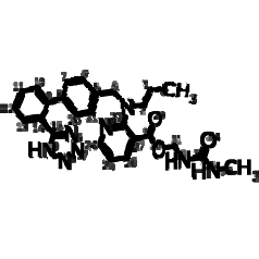 CCCN(Cc1ccc(-c2ccccc2-c2nnn[nH]2)cc1)c1ncccc1C(=O)OCNC(=O)NC